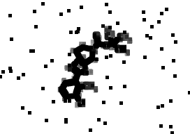 Cc1c(Cl)cccc1-c1nc2c(s1)CN(C(=O)OC(C)(C)C)CC2